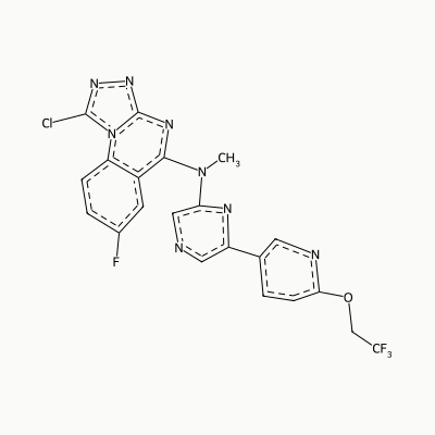 CN(c1cncc(-c2ccc(OCC(F)(F)F)nc2)n1)c1nc2nnc(Cl)n2c2ccc(F)cc12